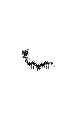 O=C1CCC(N2C(=O)c3cccc(NCCOCCN4CCO[C@@H](CNC(=O)c5ccc(-n6cc(NC(=O)c7coc(-c8ccnc(NCC(F)(F)F)c8)n7)c(C(F)F)n6)cc5)C4)c3C2=O)C(=O)N1